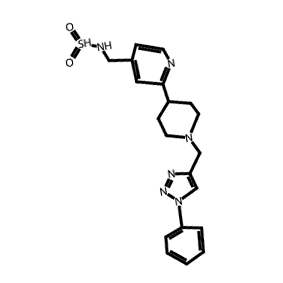 O=[SH](=O)NCc1ccnc(C2CCN(Cc3cn(-c4ccccc4)nn3)CC2)c1